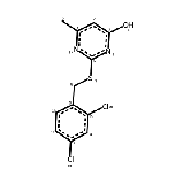 Cc1cc(O)nc(SCc2ccc(Cl)cc2Cl)n1